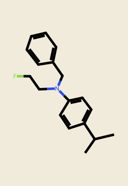 CC(C)c1ccc(N(CCF)Cc2ccccc2)cc1